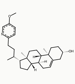 COc1ccc(CCC(C)[C@H]2CC[C@H]3[C@@H]4CC=C5C[C@@H](O)CC[C@]5(C)[C@H]4CC[C@]23C)nc1